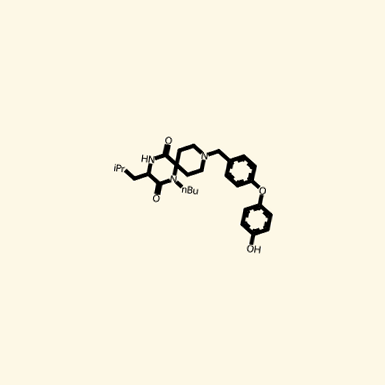 CCCCN1C(=O)C(CC(C)C)NC(=O)C12CCN(Cc1ccc(Oc3ccc(O)cc3)cc1)CC2